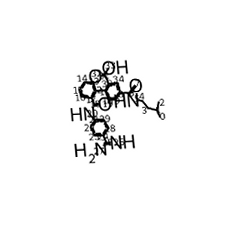 CC(C)CCNC(=O)c1ccc(-c2ccccc2C(=O)Nc2ccc(C(=N)N)cc2)c(C(=O)O)c1